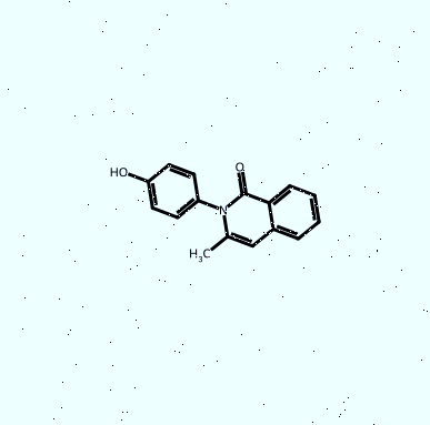 Cc1cc2ccccc2c(=O)n1-c1ccc(O)cc1